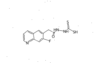 O=C(Cc1cc2cccnc2cc1F)NNC(=S)S